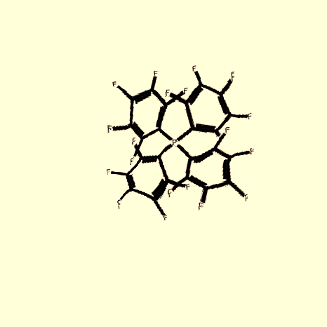 Fc1c(F)c(F)c([P](c2c(F)c(F)c(F)c(F)c2F)(c2c(F)c(F)c(F)c(F)c2F)c2c(F)c(F)c(F)c(F)c2F)c(F)c1F